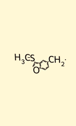 [CH2]c1ccc2occ(SC)c2c1